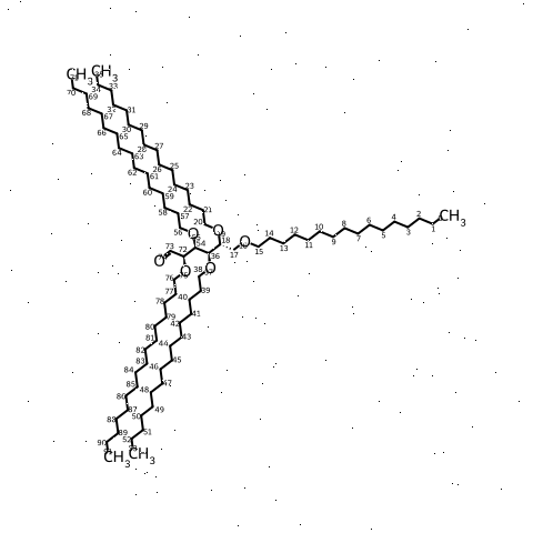 CCCCCCCCCCCCCCCCOC[C@@H](OCCCCCCCCCCCCCCCC)[C@@H](OCCCCCCCCCCCCCCCC)[C@H](OCCCCCCCCCCCCCCCC)[C@H](C=O)OCCCCCCCCCCCCCCCC